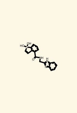 O=C(NCc1nc2ccccc2[nH]1)c1cccc2c1C=CS2(O)O